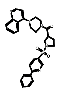 O=C(C1CCN(S(=O)(=O)c2ccc(-c3ccccc3)nc2)C1)N1CCN(c2ccnc3ccccc23)CC1